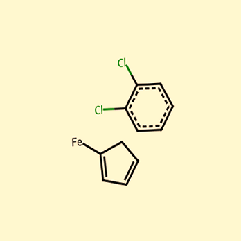 Clc1ccccc1Cl.[Fe][C]1=CC=CC1